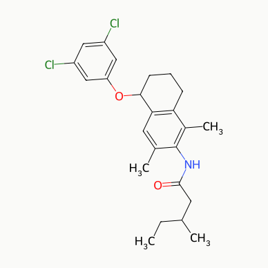 CCC(C)CC(=O)Nc1c(C)cc2c(c1C)CCCC2Oc1cc(Cl)cc(Cl)c1